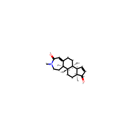 CN1CC[C@@]2(C)C(=CC1=O)CC[C@H]1C3C=CC(=O)[C@@]3(C)CC[C@@H]12